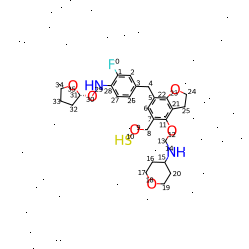 Fc1cc(Cc2cc(COS)c(OCNC3CCOCC3)c3c2OCC3)ccc1NO[C@@H]1CCCO1